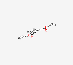 CCCCOC(=O)CCCCCCCCC(CCC(=O)OCCCC)C(C)C